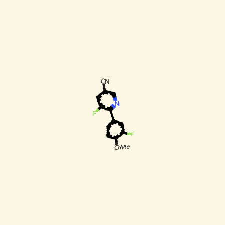 COc1ccc(-c2ncc(C#N)cc2F)cc1F